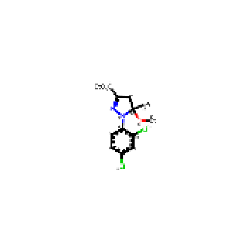 CCOC(=O)C1=NN(c2ccc(Cl)cc2Cl)C(OCC)(C(C)C)C1